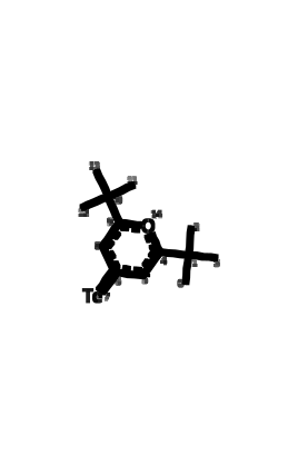 CC(C)(C)c1[c]c(=[Te])cc(C(C)(C)C)o1